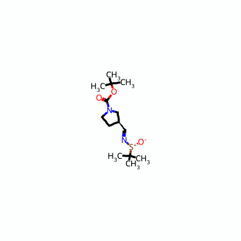 CC(C)(C)OC(=O)N1CC[C@H](C=N[S@@+]([O-])C(C)(C)C)C1